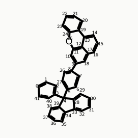 c1ccc(C2(c3ccc(-c4cc5c6c(cccc6c4)-c4ccccc4O5)cc3)c3ccccc3-c3ccccc32)cc1